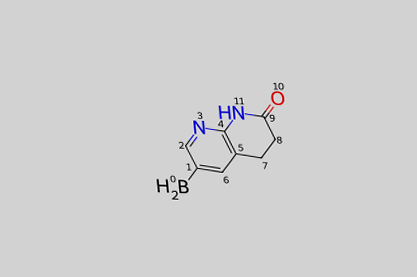 Bc1cnc2c(c1)CCC(=O)N2